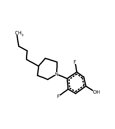 CCCCC1CCN(c2c(F)cc(O)cc2F)CC1